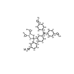 COCCC1(CCOC)c2cc(N)ccc2-c2ccc(N(c3ccc(OC)cc3)c3ccc(OC)cc3)cc21